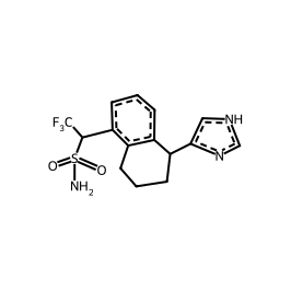 NS(=O)(=O)C(c1cccc2c1CCCC2c1c[nH]cn1)C(F)(F)F